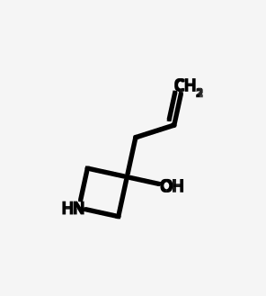 C=CCC1(O)CNC1